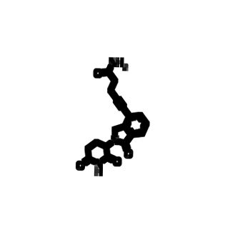 NC(=O)CCC#Cc1cccc2c1CN(C1CCC(=O)NC1=O)C2=O